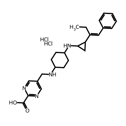 CC/C(=C\c1ccccc1)C1CC1NC1CCC(NCc2cnc(C(=O)O)nc2)CC1.Cl.Cl